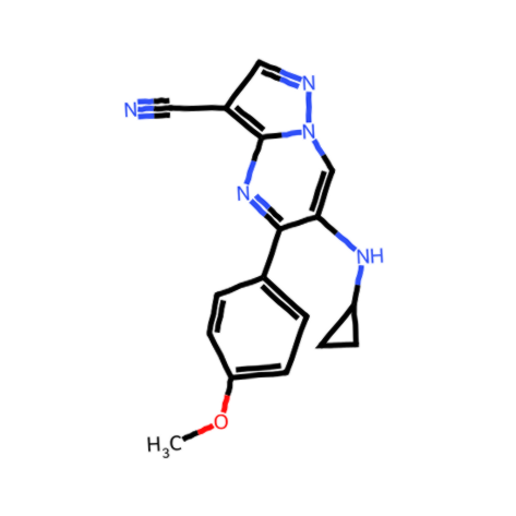 COc1ccc(-c2nc3c(C#N)cnn3cc2NC2CC2)cc1